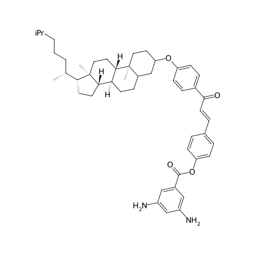 CC(C)CCC[C@@H](C)[C@H]1CC[C@H]2[C@@H]3CCC4CC(Oc5ccc(C(=O)/C=C/c6ccc(OC(=O)c7cc(N)cc(N)c7)cc6)cc5)CC[C@]4(C)[C@H]3CC[C@]12C